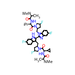 CNC(C)C(=O)NC(C(=O)N1CC(F)CC1Cn1c(-c2[nH]c3cc(F)ccc3c2CC2CC(F)CN2C(=O)C(NC(=O)C(C)NC)C2CC2)nc2cc(F)ccc21)C(C)C